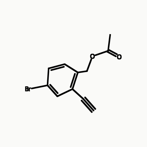 C#Cc1cc(Br)ccc1COC(C)=O